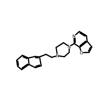 c1ccc2cc(CCN3CCN(c4nccc5ccoc45)CC3)ccc2c1